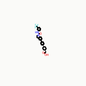 O=C(O)C[C@H]1CC[C@H](c2ccc(-c3ccc4c(c3)CCN4C(=O)Nc3cccc(C(F)(F)F)c3)cc2)CC1